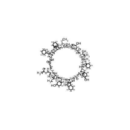 CCCC[C@H]1C(=O)N(C)CC(=O)N[C@@H](CC(=O)O)C(=O)N[C@@H](C(C)C)C(=O)N(C)[C@@H](Cc2ccccc2)C(=O)N[C@@H](Cc2ccc(O)cc2)C(=O)N(C)CC(=O)N[C@@H](Cc2c[nH]c3ccccc23)C(=O)N[C@@H](Cc2ccc(O)cc2)C(=O)N[C@@H](CC(C)C)C(=O)N[C@H](C(=O)NCC(N)=O)CSCC(=O)N[C@@H](CCc2ccccc2)C(=O)N(C)[C@@H](Cc2ccccc2)C(=O)N1C